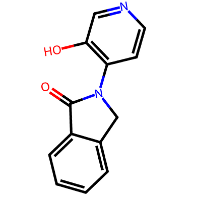 O=C1c2ccccc2CN1c1ccncc1O